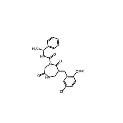 COc1ccc(Cl)cc1C=C1CNC(=O)CN(C(=O)N[C@@H](C)c2ccccc2)C1=O